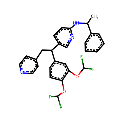 CC(Nc1ccc(C(Cc2ccncc2)c2ccc(OC(F)F)c(OC(F)F)c2)cn1)c1ccccc1